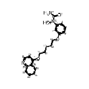 NC(=O)N(S)c1cccc(OCCCCCOc2ccnc3ccccc23)c1